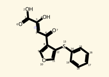 O=C(O)/C(O)=C/C(=O)c1cocc1Sc1ccccc1